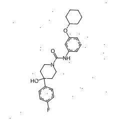 O=C(Nc1cccc(OC2CCCCC2)c1)N1CCC(O)(c2ccc(F)cc2)CC1